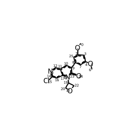 COc1cc(OC)cc(-c2cc3cnc(Cl)cc3n(C3COC3)c2=O)c1